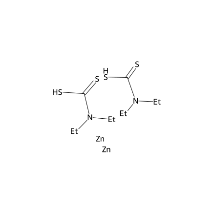 CCN(CC)C(=S)S.CCN(CC)C(=S)S.[Zn].[Zn]